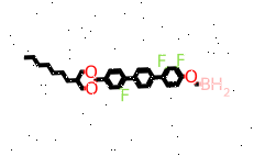 BCOc1ccc(-c2ccc(-c3ccc(C4OCC(CCCCCCC)CO4)cc3F)cc2)c(F)c1F